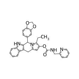 CCc1c(OC(=O)NCc2ccccn2)cc2n1C(c1ccc3c(c1)OCO3)c1[nH]c3ccccc3c1C2